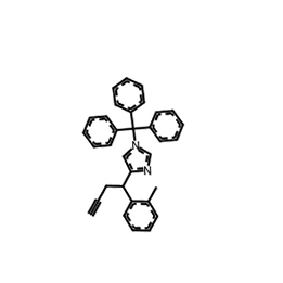 C#CCC(c1cn(C(c2ccccc2)(c2ccccc2)c2ccccc2)cn1)c1ccccc1C